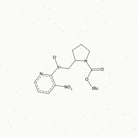 CC(C)(C)OC(=O)N1CCCC1C[S+]([O-])c1ncccc1[N+](=O)[O-]